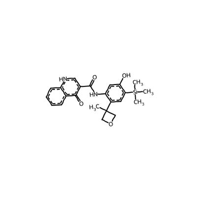 CC1(c2cc([Si](C)(C)C)c(O)cc2NC(=O)c2c[nH]c3ccccc3c2=O)COC1